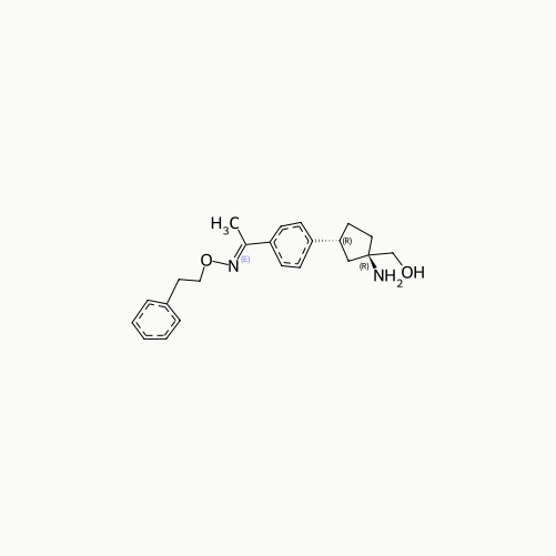 C/C(=N\OCCc1ccccc1)c1ccc([C@@H]2CC[C@](N)(CO)C2)cc1